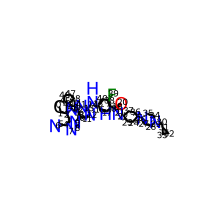 CCC1c2c(C#N)ncn2-c2cnc(Nc3ccc(C(=O)NC4CCC(N5CCN(CC6CC6)CC5)CC4)c(F)c3)nc2N1C1CCCC1